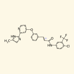 Cc1cnc(-c2cc(Oc3cccc(/C=C/C(=O)Nc4ccc(Cl)c(C(F)(F)F)c4)c3)ccn2)[nH]1